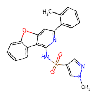 Cc1ccccc1-c1cc2oc3ccccc3c2c(NS(=O)(=O)c2cnn(C)c2)n1